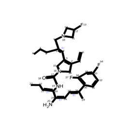 C=CC1=C(/C=C(\CCC)CN2CC(F)C2)CN(C(=O)NC(=C\CC)/C(N)=C\C=C(/C)c2ccc(F)cc2F)C1